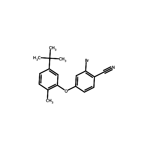 Cc1ccc(C(C)(C)C)cc1Oc1ccc(C#N)c(Br)c1